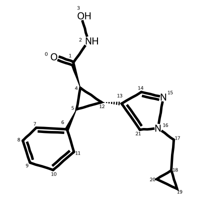 O=C(NO)[C@@H]1[C@H](c2ccccc2)[C@H]1c1cnn(CC2CC2)c1